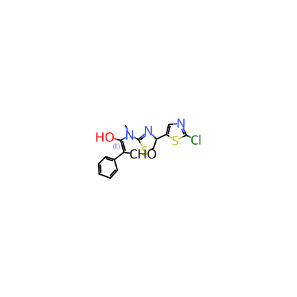 CN(C1=NC(c2cnc(Cl)s2)CS1)/C(O)=C(\C=O)c1ccccc1